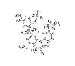 COc1cc(OC(F)(F)F)cc(C(C)(C)c2cc(OC)cc(-n3c(C(N)=O)cc4ccc(NS(C)(=O)=O)cc43)c2)c1